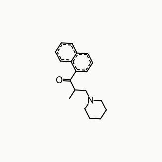 CC(CN1CCCCC1)C(=O)c1cccc2ccccc12